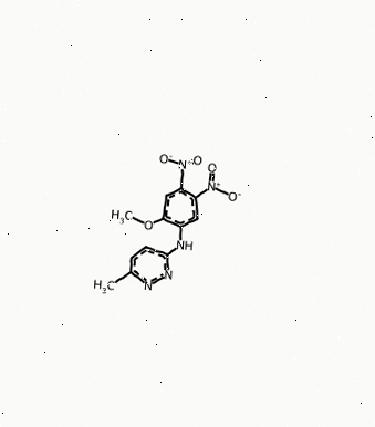 COc1cc([N+](=O)[O-])c([N+](=O)[O-])cc1Nc1ccc(C)nn1